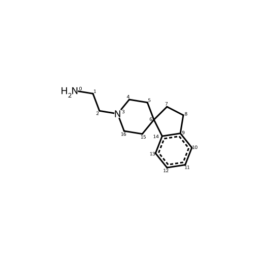 NCCN1CCC2(CCc3ccccc32)CC1